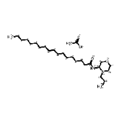 CC(=O)O.CCCCCCCCCCCCCCCCCC(=O)NC1COCCN1CCC